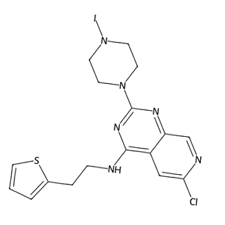 Clc1cc2c(NCCc3cccs3)nc(N3CCN(I)CC3)nc2cn1